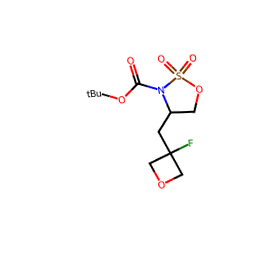 CC(C)(C)OC(=O)N1C(CC2(F)COC2)COS1(=O)=O